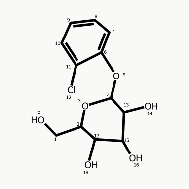 OCC1OC(Oc2ccccc2Cl)C(O)C(O)C1O